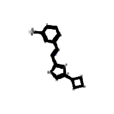 Nc1cccc(/C=C/c2nc(C3CCC3)cs2)c1